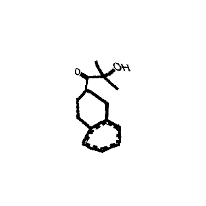 CC(C)(O)C(=O)C1CCc2ccccc2C1